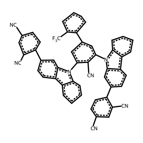 N#Cc1ccc(-c2ccc3c4ccccc4n(-c4cc(-c5ccccc5C(F)(F)F)cc(-n5c6ccccc6c6ccc(-c7ccc(C#N)cc7C#N)cc65)c4C#N)c3c2)c(C#N)c1